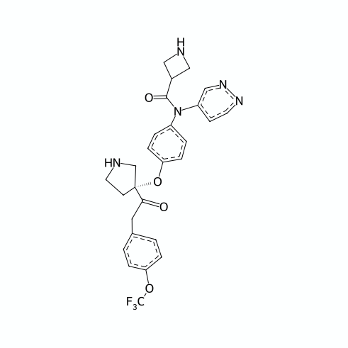 O=C(C1CNC1)N(c1ccc(O[C@]2(C(=O)Cc3ccc(OC(F)(F)F)cc3)CCNC2)cc1)c1ccnnc1